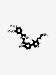 COc1ccc(-c2c[nH]c(-c3n[nH]c4ccc(-c5cncc(CCCN)c5C)cc34)n2)cc1OC